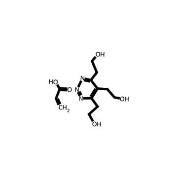 C=CC(=O)O.OCCc1nnnc(CCO)c1CCO